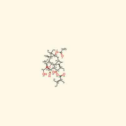 CCCC(=O)O[C@@]12C[C@@H](C)[C@]34C=C(C)[C@H](OC(=O)C(C)=C(C)C)[C@@]3(O)[C@H](O)C(CO)=C[C@H](C4O)[C@@H]1C2(C)C